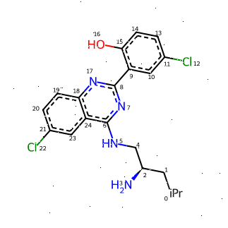 CC(C)C[C@@H](N)CNc1nc(-c2cc(Cl)ccc2O)nc2ccc(Cl)cc12